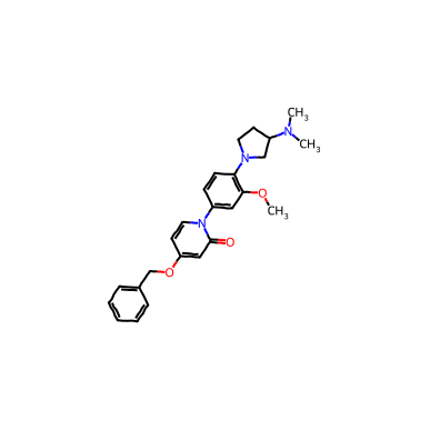 COc1cc(-n2ccc(OCc3ccccc3)cc2=O)ccc1N1CCC(N(C)C)C1